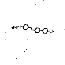 CCCCCC1CCC(CCc2ccc(C3CCC(C#N)CC3)cc2)CC1